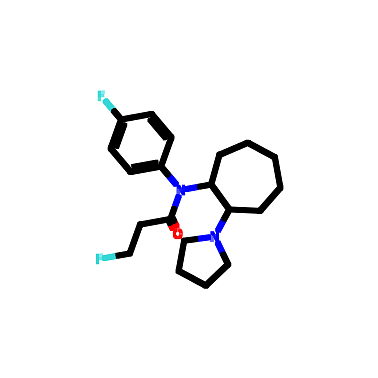 O=C(CCF)N(c1ccc(F)cc1)C1CCCCCC1N1CCCC1